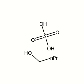 CCCCO.O=S(=O)(O)O